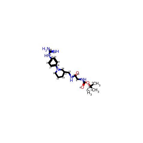 CC(C)(C)OC(=O)NCC(=O)NCC1CCCN(c2ccc(NC(=N)N)cc2)C1